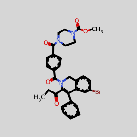 CCC(=O)C1=C(c2ccccc2)c2cc(Br)ccc2CN1C(=O)c1ccc(C(=O)N2CCN(C(=O)OC)CC2)cc1